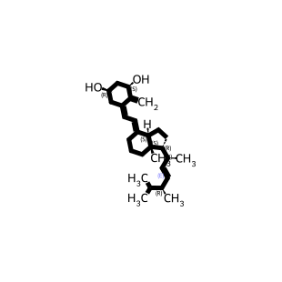 C=C1C(=CC=C2CCC[C@]3(C)[C@@H]2CC[C@@H]3[C@H](C)/C=C/[C@H](C)C(C)C)C[C@@H](O)C[C@@H]1O